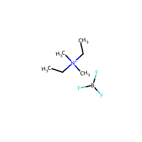 CC[N+](C)(C)CC.FB(F)F